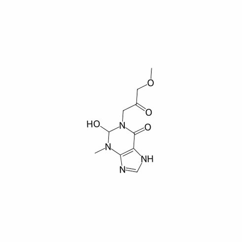 COCC(=O)CN1C(=O)c2[nH]cnc2N(C)C1O